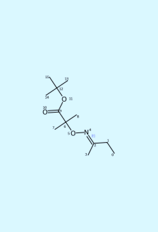 CC/C(C)=N/OC(C)(C)C(=O)OC(C)(C)C